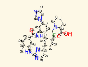 Cc1cn(-c2cc(CN3CCCC[C@H]3C(=O)O)cc(NC(=O)c3ccc(C)c(Nc4nccc(-c5ccc(F)cc5)n4)c3)c2)cn1